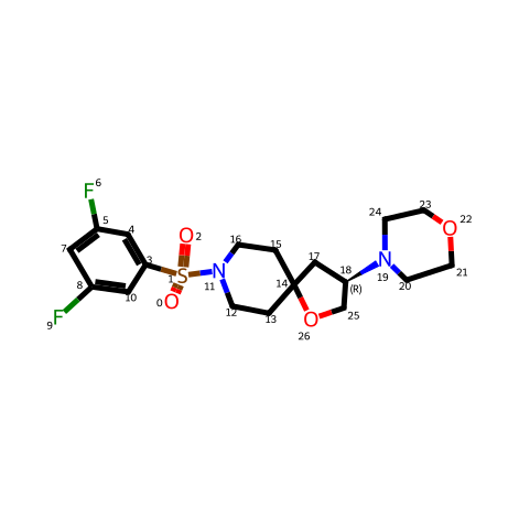 O=S(=O)(c1cc(F)cc(F)c1)N1CCC2(CC1)C[C@@H](N1CCOCC1)CO2